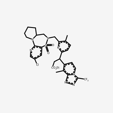 CCOC(=O)CC(c1ccc(C)c(CN2CC3CCCCN3c3ncc(Cl)cc3S2(=O)=O)n1)c1ccn2c(C(F)(F)F)nnc2c1C